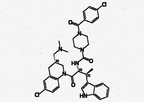 C[C@@H](c1c[nH]c2ccccc12)[C@@H](NC(=O)N1CCN(C(=O)c2ccc(Cl)cc2)CC1)C(=O)N1C[C@@H](CN(C)C)Cc2cc(Cl)ccc21